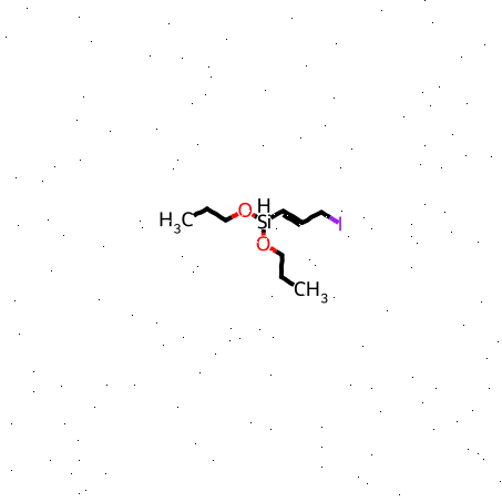 CCCO[SiH](C=CCI)OCCC